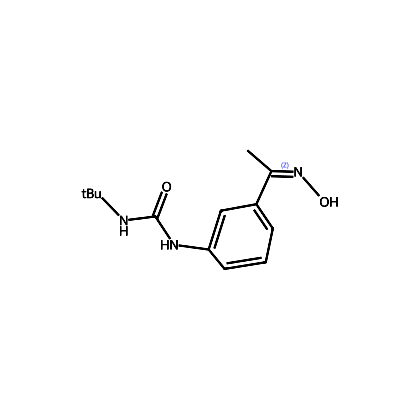 C/C(=N/O)c1cccc(NC(=O)NC(C)(C)C)c1